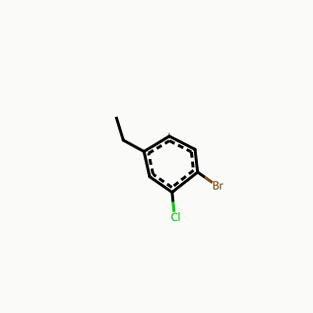 CCc1[c]cc(Br)c(Cl)c1